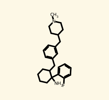 CN1CCC(Cc2cccc(CC3CCCCC3(N)c3ccccc3F)c2)CC1